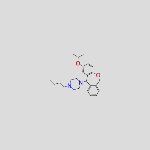 CCCCN1CCN(C2c3ccccc3COc3ccc(OC(C)C)cc32)CC1